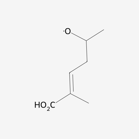 CC(=CCC(C)[O])C(=O)O